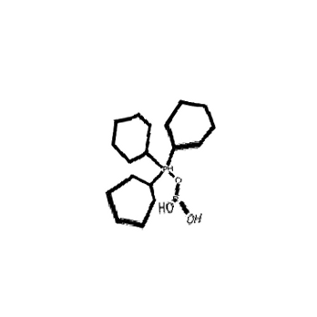 OP(O)O[PH](C1CCCCC1)(C1CCCCC1)C1CCCCC1